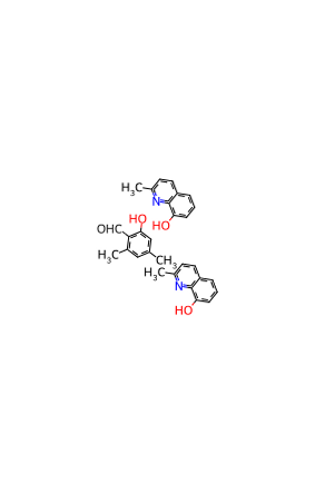 Cc1cc(C)c(C=O)c(O)c1.Cc1ccc2cccc(O)c2n1.Cc1ccc2cccc(O)c2n1